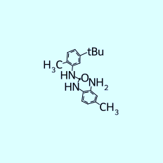 Cc1ccc(NC(=O)Nc2cc(C(C)(C)C)ccc2C)c(N)c1